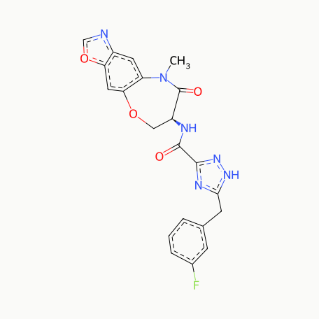 CN1C(=O)[C@@H](NC(=O)c2n[nH]c(Cc3cccc(F)c3)n2)COc2cc3ocnc3cc21